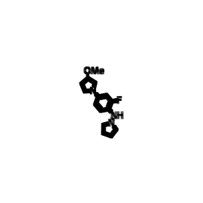 CO[C@@H]1CCN(c2ccc(NN3CCCC3)c(F)c2)C1